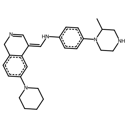 CC1CNCCN1c1ccc(N/C=C2\C=NCc3ccc(N4CCCCC4)cc32)cc1